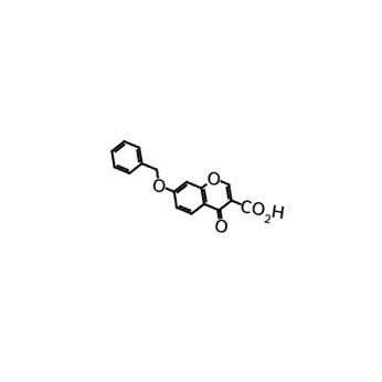 O=C(O)c1coc2cc(OCc3ccccc3)ccc2c1=O